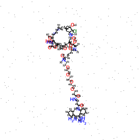 COc1cc2cc(c1Cl)N(C)C(=O)C[C@@H](OC(=O)[C@@H](C)N(C)C(=O)CCCC(=O)N(C)CCOCCOCCOCCOCCC(=O)NCCC(=O)N1Cc3ccccc3C(N)C(NN)c3ccccc31)[C@@]1(C)O[C@@H]1[C@@H](C)[C@H]1C[C@](O)(NC(=O)O1)[C@@H](OC)/C=C/C=C(/C)C2